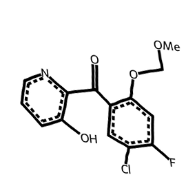 COCOc1cc(F)c(Cl)cc1C(=O)c1ncccc1O